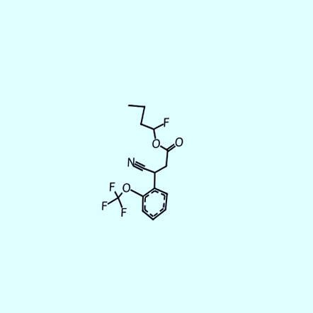 CCCC(F)OC(=O)CC(C#N)c1ccccc1OC(F)(F)F